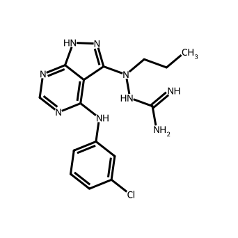 CCCN(NC(=N)N)c1n[nH]c2ncnc(Nc3cccc(Cl)c3)c12